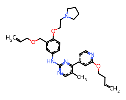 C=CCCOc1cc(-c2nc(Nc3ccc(OCCN4CCCC4)c(COCC=C)c3)ncc2C)ccn1